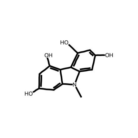 Cn1c2cc(O)cc(O)c2c2c(O)cc(O)cc21